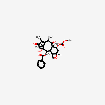 CC(=O)O[C@H]1C(=O)[C@@]2(C)C([C@H](OC(=O)c3ccccc3)[C@]3(O)CC(=O)C(C)=C1C3(C)C)[C@]1(OC(C)=O)CO[C@@H]1C[C@@H]2OC(=O)OC(C)(C)C